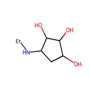 CCNC1CC(O)C(O)C1O